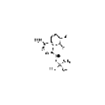 CC(C)(O)CNC(=O)c1c(C(N)=O)ccc(F)c1F